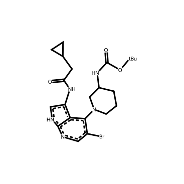 CC(C)(C)OC(=O)NC1CCCN(c2c(Br)cnc3[nH]cc(NC(=O)CC4CC4)c23)C1